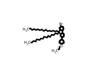 C=CCOc1ccc(-c2ccc3c(c2)C(CCCCCCCCCCCCCCCC)(CCCCCCCCCCCCCCCC)c2cc(Br)ccc2-3)cc1